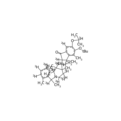 [2H]c1c([2H])c([2H])c(C([2H])(C)N2C([2H])([2H])C([2H])([2H])C(C)(C([2H])([2H])C3([2H])C(=O)c4c([2H])c(OC([2H])(C)C)c(OC(C)(C)C)c(C)c4C3(C)C)C(C)(C)C2(C)C)c(C)c1[2H]